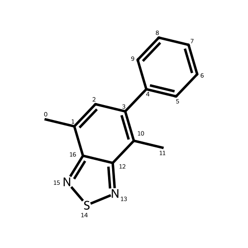 Cc1cc(-c2ccccc2)c(C)c2nsnc12